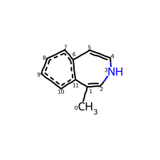 CC1=CNC=Cc2ccccc21